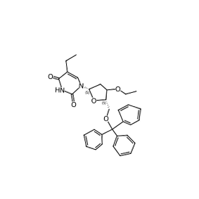 CCOC1C[C@@H](n2cc(CC)c(=O)[nH]c2=O)O[C@H]1COC(c1ccccc1)(c1ccccc1)c1ccccc1